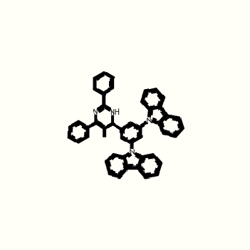 CC1=C(c2ccccc2)N=C(C2C=CC=CC2)NC1c1cc(-n2c3ccccc3c3ccccc32)cc(-n2c3ccccc3c3ccccc32)c1